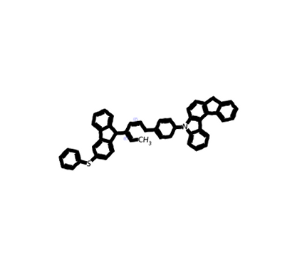 C/C=C(\C=C/CC1=CCC(n2c3ccccc3c3c4c(ccc32)Cc2ccccc2-4)C=C1)C1c2ccccc2-c2cc(Sc3ccccc3)ccc21